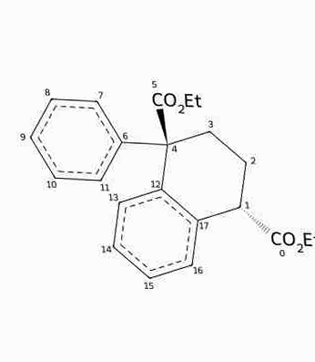 CCOC(=O)[C@H]1CC[C@@](C(=O)OCC)(c2ccccc2)c2ccccc21